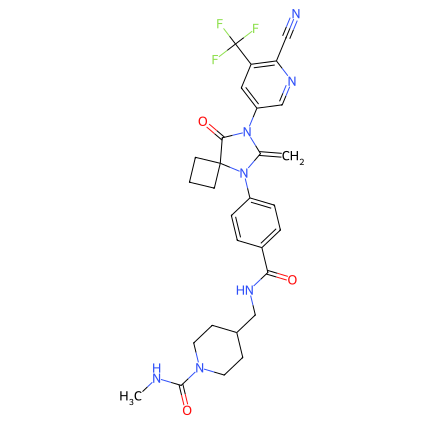 C=C1N(c2cnc(C#N)c(C(F)(F)F)c2)C(=O)C2(CCC2)N1c1ccc(C(=O)NCC2CCN(C(=O)NC)CC2)cc1